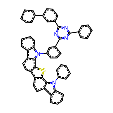 c1ccc(-c2cccc(-c3nc(-c4ccccc4)nc(-c4cccc(-n5c6ccccc6c6ccc7c8ccc9c%10ccccc%10n(-c%10ccccc%10)c9c8sc7c65)c4)n3)c2)cc1